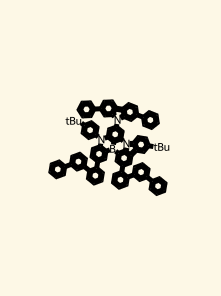 CC(C)(C)c1ccc(N2c3ccc(-c4ccccc4-c4cccc(-c5ccccc5)c4)cc3B3c4c2cc(-n2c5cc(-c6ccccc6)ccc5c5ccc(-c6ccccc6)cc52)cc4-n2c4ccc(C(C)(C)C)cc4c4cc(-c5ccccc5-c5cccc(-c6ccccc6)c5)cc3c42)cc1